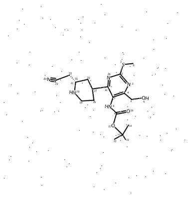 CSc1nc(CO)c(NC(=O)OC(C)(C)C)c(C2CCN[C@H](CC#N)C2)n1